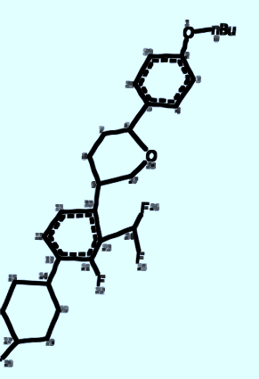 CCCCOc1ccc(C2CCC(c3ccc(C4CCC(CCC)CC4)c(F)c3C(F)F)CO2)cc1